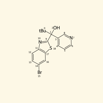 CC(C)(C)C(O)(c1cccnc1)c1nc2ccc(Br)cc2s1